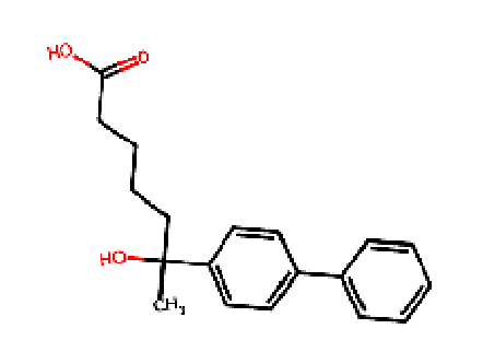 CC(O)(CCCCC(=O)O)c1ccc(-c2ccccc2)cc1